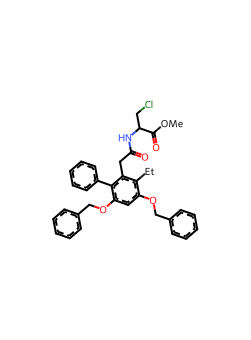 CCc1c(OCc2ccccc2)cc(OCc2ccccc2)c(-c2ccccc2)c1CC(=O)NC(CCl)C(=O)OC